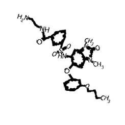 CCCCOc1cccc(Oc2cc3c(cc2NS(=O)(=O)c2cccc(C(=O)NCCN)c2)n(C)c(=O)n3C)c1